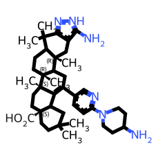 CC1(C)CC[C@]2(C(=O)O)CC[C@]3(C)C(=C(c4ccc(N5CCC(N)CC5)nc4)CC4[C@@]5(C)Cc6c(n[nH]c6N)C(C)(C)C5CC[C@]43C)C2C1